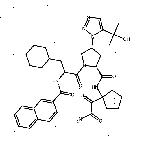 CC(C)(O)c1cnnn1[C@H]1C[C@@H](C(=O)NC2(C(=O)C(N)=O)CCCC2)N(C(=O)C(CC2CCCCC2)NC(=O)c2ccc3ccccc3c2)C1